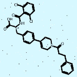 O=C(N[C@@H](Cc1ccc(C2=CCN(C(=O)CCc3ccccc3)CC2)cc1)C(=O)O)c1c(Cl)cccc1Cl